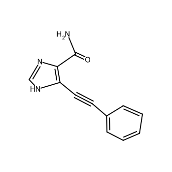 NC(=O)c1nc[nH]c1C#Cc1ccccc1